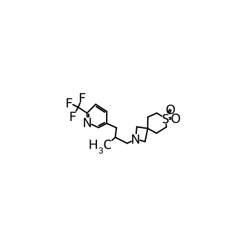 CC(Cc1ccc(C(F)(F)F)nc1)CN1CC2(CCS(=O)(=O)CC2)C1